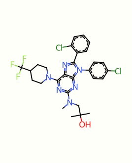 CN(CC(C)(C)O)c1nc(N2CCC(C(F)(F)F)CC2)c2nc(-c3ccccc3Cl)n(-c3ccc(Cl)cc3)c2n1